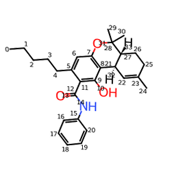 CCCCCc1cc2c(c(O)c1C(=O)Nc1ccccc1)[C@@H]1C=C(C)CC[C@H]1C(C)(C)O2